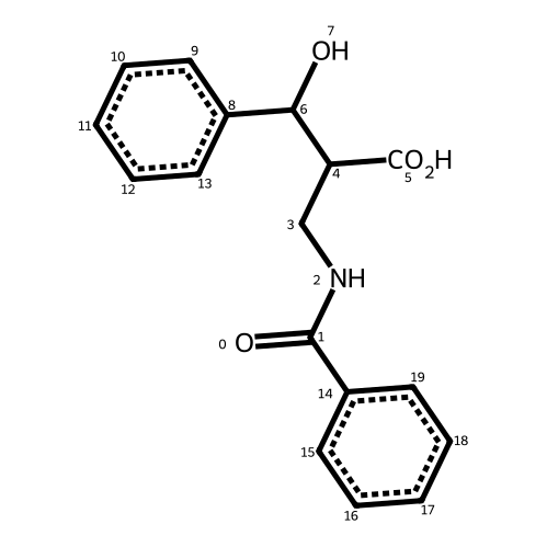 O=C(NCC(C(=O)O)C(O)c1ccccc1)c1ccccc1